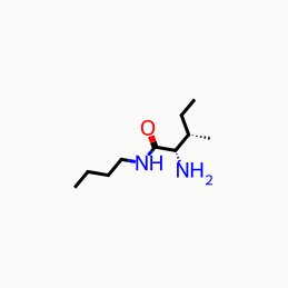 CCCCNC(=O)[C@@H](N)[C@@H](C)CC